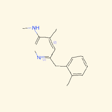 C=C(NC)/C(C)=C\C(Cc1ccccc1C)=N/C